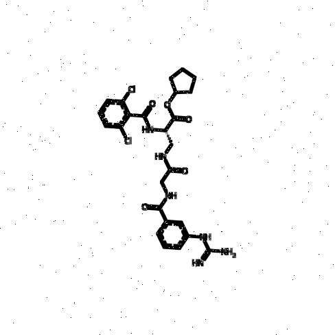 N=C(N)Nc1cccc(C(=O)NCC(=O)NC[C@H](NC(=O)c2c(Cl)cccc2Cl)C(=O)OC2CCCC2)c1